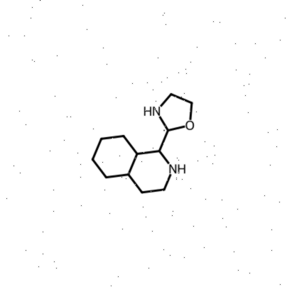 C1CCC2C(C1)CCNC2[C]1NCCO1